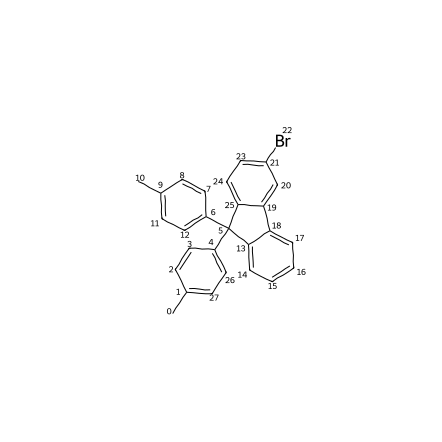 Cc1ccc(C2(c3ccc(C)cc3)c3ccccc3-c3cc(Br)ccc32)cc1